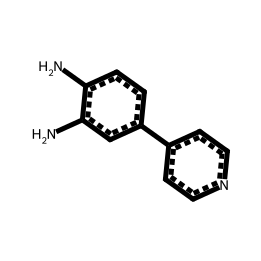 Nc1ccc(-c2ccncc2)cc1N